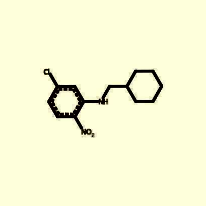 O=[N+]([O-])c1ccc(Cl)cc1NCC1CCCCC1